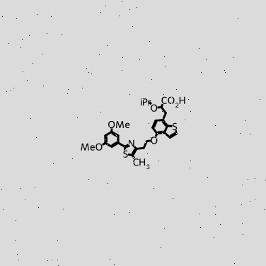 COc1cc(OC)cc(-c2nc(CCOc3ccc(CC(OC(C)C)C(=O)O)c4sccc34)c(C)s2)c1